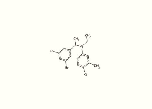 CCN(c1ccc(Cl)c(C)c1)C(C)c1cc(Cl)cc(Br)c1